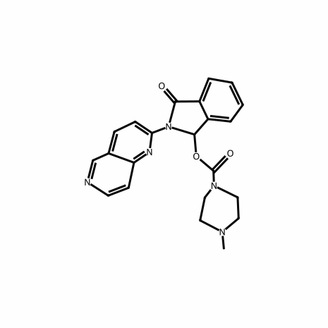 CN1CCN(C(=O)OC2c3ccccc3C(=O)N2c2ccc3cnccc3n2)CC1